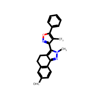 Cn1nc2c(c1-c1noc(-c3ccccc3)c1C(F)(F)F)CCc1cc(C=O)ccc1-2